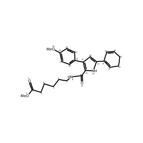 COC(=O)CCCCCNC(=O)c1[nH]c(C2=CCCC=C2)cc1-c1ccc(OC)cc1